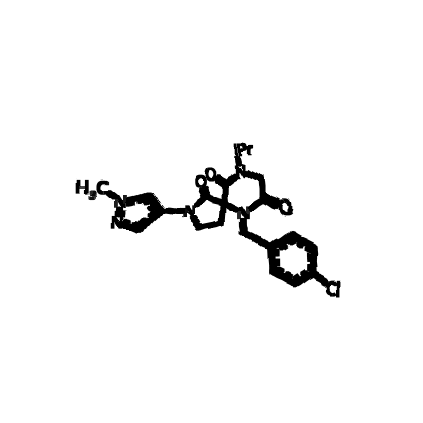 CC(C)N1CC(=O)N(Cc2ccc(Cl)cc2)C2(CCN(c3cnn(C)c3)C2=O)C1=O